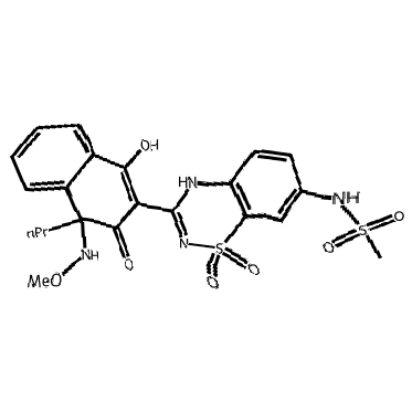 CCCC1(NOC)C(=O)C(C2=NS(=O)(=O)c3cc(NS(C)(=O)=O)ccc3N2)=C(O)c2ccccc21